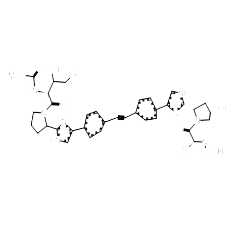 COC(=O)N[C@H](C(=O)N1CCCC1c1nc(-c2ccc(C#Cc3ccc(-c4c[nH]c([C@@H]5C[C@H](O)CN5C(=O)[C@@H](NC(=O)O)C(C)C)n4)cc3)cc2)c[nH]1)C(C)CO